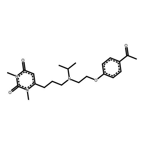 CC(=O)c1ccc(OCCN(CCCc2cc(=O)n(C)c(=O)n2C)C(C)C)cc1